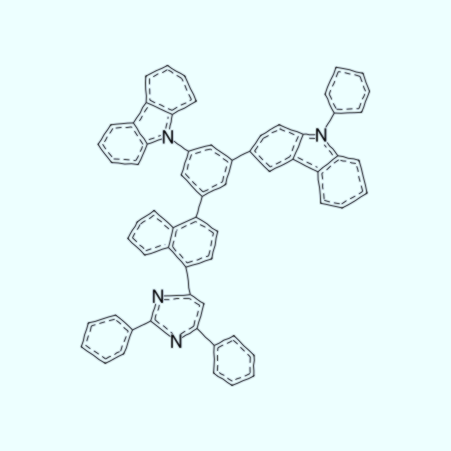 c1ccc(-c2cc(-c3ccc(-c4cc(-c5ccc6c(c5)c5ccccc5n6-c5ccccc5)cc(-n5c6ccccc6c6ccccc65)c4)c4ccccc34)nc(-c3ccccc3)n2)cc1